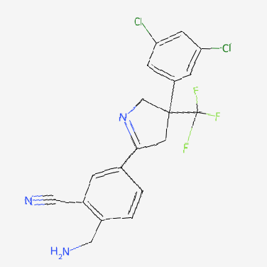 N#Cc1cc(C2=NCC(c3cc(Cl)cc(Cl)c3)(C(F)(F)F)C2)ccc1CN